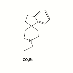 CCOC(=O)CCN1CCC2(CCc3ccccc32)CC1